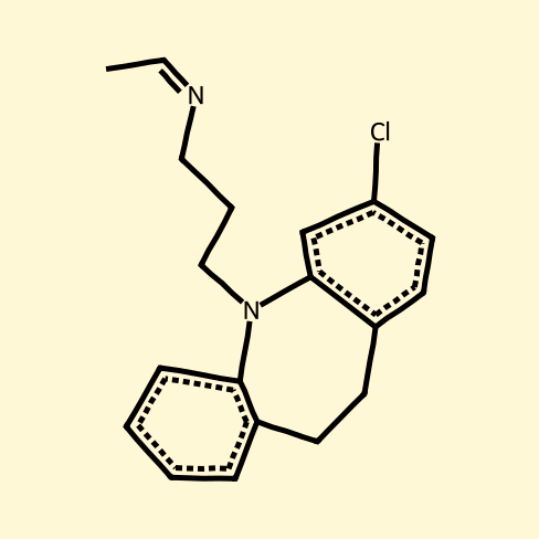 C/C=N\CCCN1c2ccccc2CCc2ccc(Cl)cc21